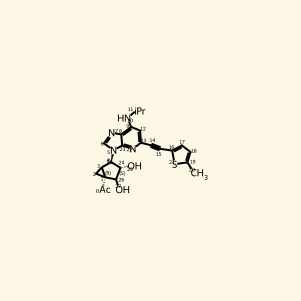 CC(=O)[C@]12CC1[C@@H](n1cnc3c(NC(C)C)cc(C#Cc4ccc(C)s4)nc31)[C@H](O)C2O